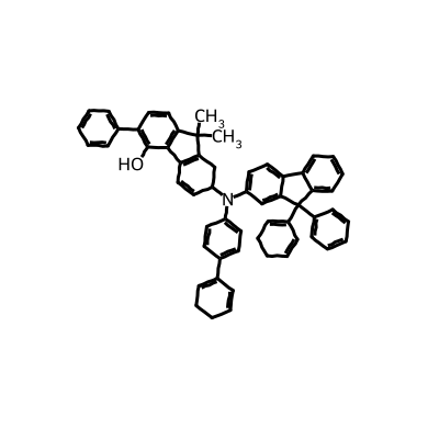 CC1(C)C2=C(C=CC(N(c3ccc(C4=CCCC=C4)cc3)c3ccc4c(c3)C(C3=CCCC=C3)(c3ccccc3)c3ccccc3-4)C2)c2c1ccc(-c1ccccc1)c2O